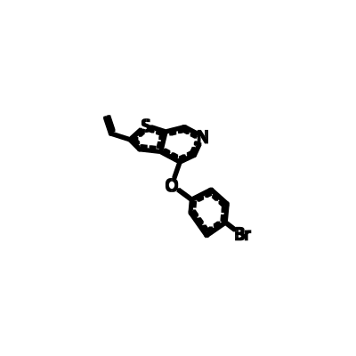 C=Cc1cc2c(Oc3ccc(Br)cc3)cncc2s1